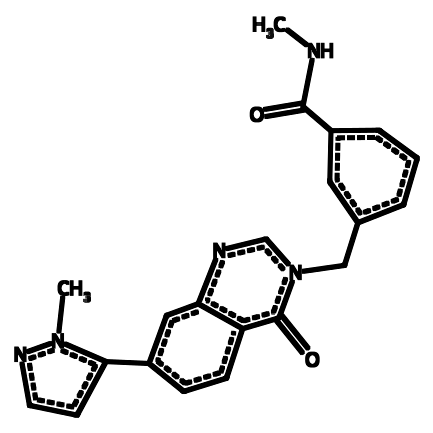 CNC(=O)c1cccc(Cn2cnc3cc(-c4ccnn4C)ccc3c2=O)c1